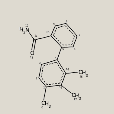 Cc1ccc(-c2ccccc2C(N)=O)c(C)c1C